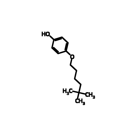 CC(C)(C)CCCCOc1ccc(O)cc1